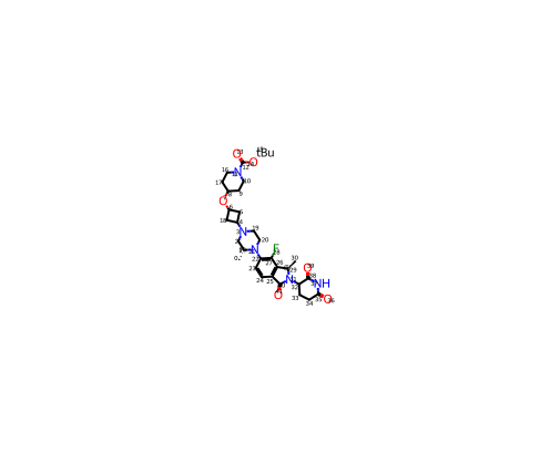 C[C@@H]1CN(C2CC(OC3CCN(C(=O)OC(C)(C)C)CC3)C2)CCN1c1ccc2c(c1F)[C@@H](C)N(C1CCC(=O)NC1=O)C2=O